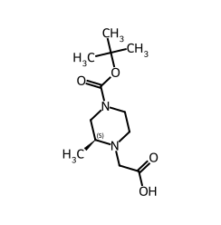 C[C@H]1CN(C(=O)OC(C)(C)C)CCN1CC(=O)O